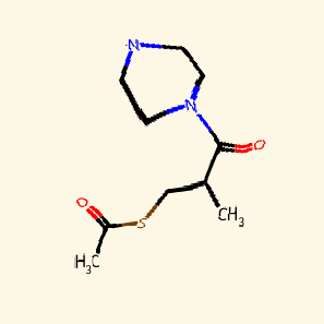 CC(=O)SCC(C)C(=O)N1CC[N]CC1